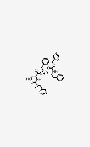 CN(Cc1cncs1)C(=O)N[C@@H](CO)C(=O)N[C@@H](CC[C@@H](Cc1ccccc1)NC(=O)OCc1cncs1)Cc1ccccc1